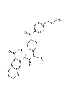 COCc1ccc(C(=O)N2CCN(C(C)C(=O)Nc3cc4c(cc3C(C)=O)OCCO4)CC2)cc1